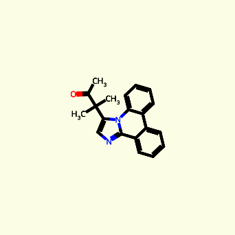 CC(=O)C(C)(C)c1cnc2c3ccccc3c3ccccc3n12